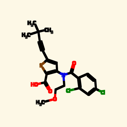 COCCN(C(=O)c1ccc(Cl)cc1Cl)c1cc(C#CC(C)(C)C)sc1C(=O)O